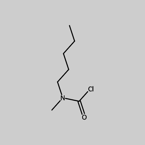 CCCCCN(C)C(=O)Cl